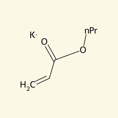 C=CC(=O)OCCC.[K]